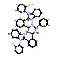 Fc1ccccc1-n1c(-c2ccccc2-c2nc(-c3ccccc3)nc(-c3ccccc3-c3nc4ccccc4n3-c3ccccc3F)n2)nc2ccccc21